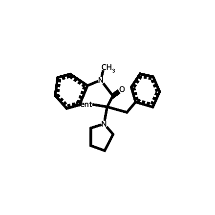 CCCCCC(Cc1ccccc1)(C(=O)N(C)c1ccccc1)N1CCCC1